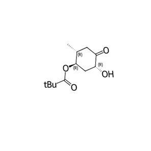 C[C@@H]1CC(=O)[C@H](O)C[C@H]1OC(=O)C(C)(C)C